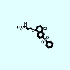 CNCCOC1CCCc2cc(S(=O)(=O)c3ccccc3)ccc21.Cl